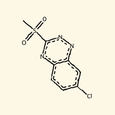 CS(=O)(=O)c1nnc2cc(Cl)ccc2n1